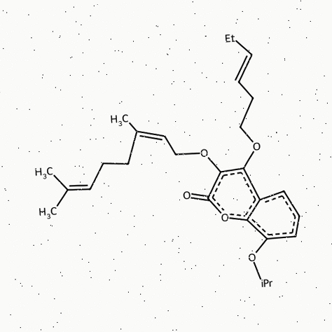 CCC=CCCOc1c(OCC=C(C)CCC=C(C)C)c(=O)oc2c(OC(C)C)cccc12